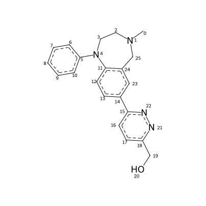 CN1CCN(c2ccccc2)c2ccc(-c3ccc(CO)nn3)cc2C1